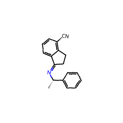 C[C@H](/N=C1\CCc2c(C#N)cccc21)c1ccccc1